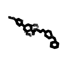 COc1cnc(N2C[C@@H](C)N(C(=O)NCCC3CCN(Cc4ccccc4)CC3)[C@@H](C)C2)nc1